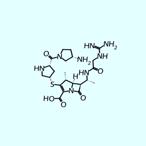 C[C@@H](NC(=O)CNC(=N)N)[C@H]1C(=O)N2C(C(=O)O)=C(S[C@@H]3CN[C@H](C(=O)N4CC[C@H](N)C4)C3)[C@H](C)[C@@H]12